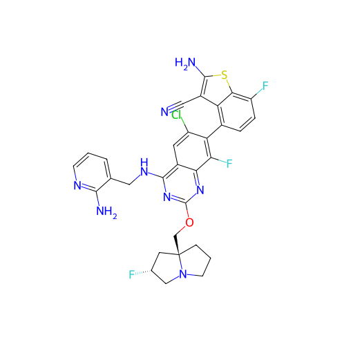 N#Cc1c(N)sc2c(F)ccc(-c3c(Cl)cc4c(NCc5cccnc5N)nc(OC[C@@]56CCCN5C[C@H](F)C6)nc4c3F)c12